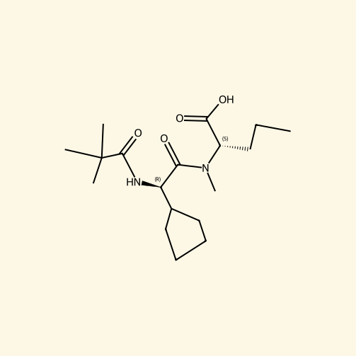 CCC[C@@H](C(=O)O)N(C)C(=O)[C@H](NC(=O)C(C)(C)C)C1CCCC1